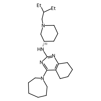 CCC(CC)CN1CCC[C@H](Nc2nc3c(c(N4CCCCCC4)n2)CCCC3)C1